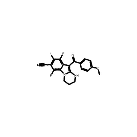 COc1ccc(C(=O)c2c3n(c4c(F)c(C#N)c(F)c(F)c24)CCCN3)cc1